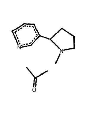 CC(C)=O.CN1CCCC1c1cccnc1